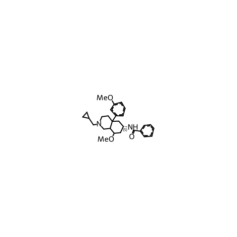 COc1cccc(C23CCN(CC4CC4)CC2C(OC)C[C@@H](NC(=O)c2ccccc2)C3)c1